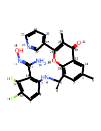 Cc1cc([C@@H](C)Nc2ccc(F)c(F)c2/C(N)=N/O)c2oc(-c3cccnc3)c(C)c(=O)c2c1